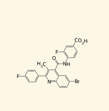 Cc1c(-c2ccc(F)cc2)nc2ccc(Br)cc2c1C(=O)Nc1ccc(C(=O)O)cc1F